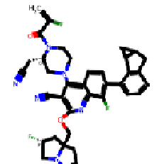 C=C(F)C(=O)N1CCN(c2c(C#N)c(OCC34CCCN3C[C@H](F)C4)nc3c(F)c(-c4cccc5c4C4CC4C5)ccc23)C[C@@H]1CC#N